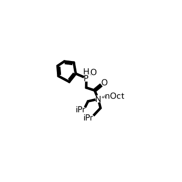 CCCCCCCC[N+](CC(C)C)(CC(C)C)C(=O)C[PH](=O)c1ccccc1